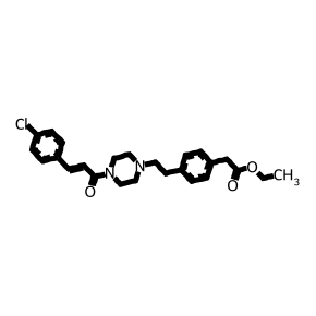 CCOC(=O)Cc1ccc(CCN2CCN(C(=O)C=Cc3ccc(Cl)cc3)CC2)cc1